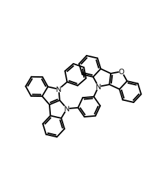 c1ccc(-n2c3ccccc3c3c4ccccc4n(-c4cccc(-n5c6ccccc6c6oc7ccccc7c65)c4)c32)cc1